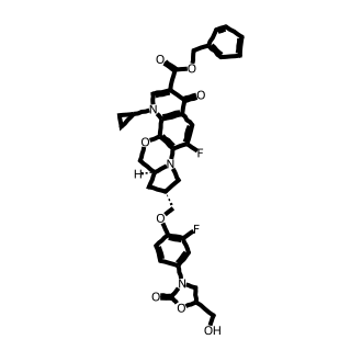 O=C(OCc1ccccc1)c1cn(C2CC2)c2c3c(c(F)cc2c1=O)N1C[C@H](COc2ccc(N4CC(CO)OC4=O)cc2F)C[C@H]1CO3